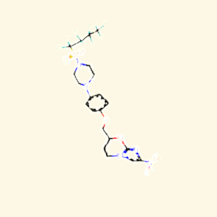 O=[N+]([O-])c1cn2c(n1)OC(COc1ccc(N3CCN(S(=O)(=O)C(F)(F)C(F)(F)C(F)(F)C(F)(F)F)CC3)cc1)CC2